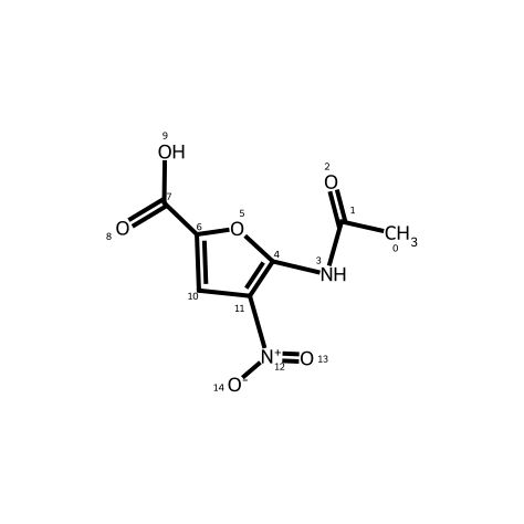 CC(=O)Nc1oc(C(=O)O)cc1[N+](=O)[O-]